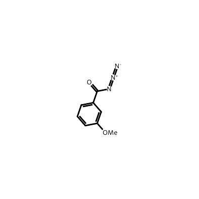 COc1cccc(C(=O)N=[N+]=[N-])c1